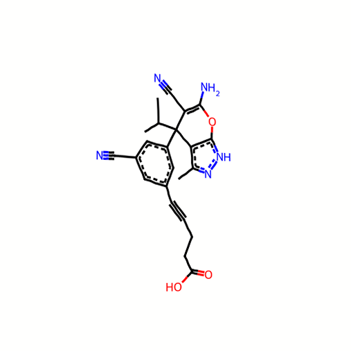 Cc1n[nH]c2c1C(c1cc(C#N)cc(C#CCCC(=O)O)c1)(C(C)C)C(C#N)=C(N)O2